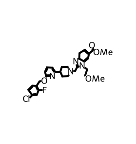 COCCN1C2=CC(C(=O)OC)=CCC2N=C1CN1CCC(c2cccc(OCc3ccc(Cl)cc3F)n2)CC1